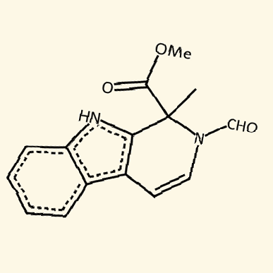 COC(=O)C1(C)c2[nH]c3ccccc3c2C=CN1C=O